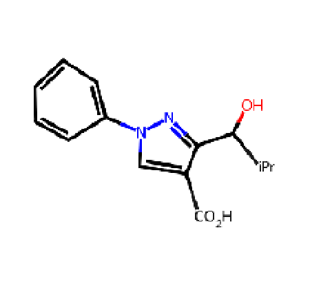 CC(C)C(O)c1nn(-c2ccccc2)cc1C(=O)O